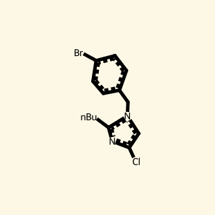 CCCCc1nc(Cl)cn1Cc1ccc(Br)cc1